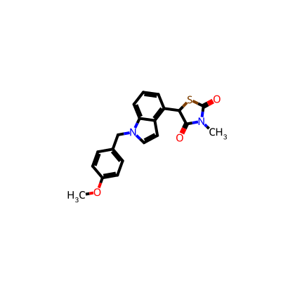 COc1ccc(Cn2ccc3c(C4SC(=O)N(C)C4=O)cccc32)cc1